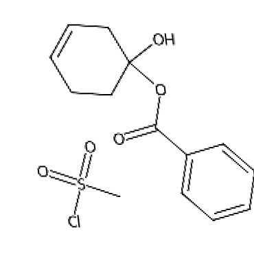 CS(=O)(=O)Cl.O=C(OC1(O)CC=CCC1)c1ccccc1